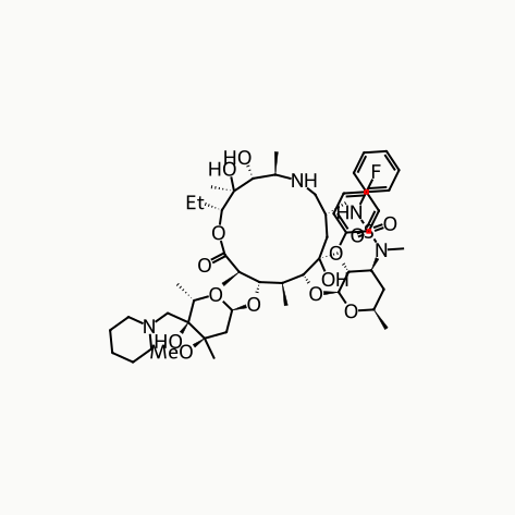 CC[C@H]1OC(=O)[C@H](C)[C@@H](O[C@H]2C[C@@](C)(OC)[C@](O)(CN3CCCCC3)[C@H](C)O2)[C@H](C)[C@@H](O[C@@H]2O[C@H](C)C[C@H](N(C)S(=O)(=O)Nc3ccccc3)[C@H]2Oc2ccc(F)cc2)[C@](C)(O)C[C@@H](C)CN[C@H](C)[C@@H](O)[C@]1(C)O